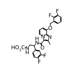 Cc1nc2c(OCc3cccc(F)c3F)cccn2c1C(=O)NC(CNC(=O)O)c1ccc(F)c(F)c1